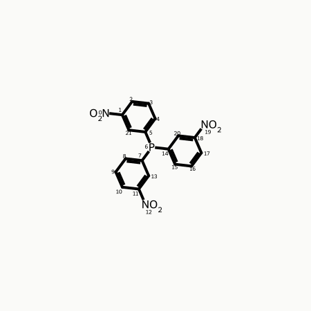 O=[N+]([O-])c1cccc(P(c2cccc([N+](=O)[O-])c2)c2cccc([N+](=O)[O-])c2)c1